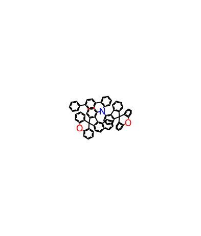 c1ccc(-c2ccc(-c3ccccc3N(c3cccc4c3-c3ccccc3C43c4ccccc4Oc4ccccc43)c3cccc4c3-c3c(ccc5ccccc35)C43c4ccccc4Oc4ccccc43)cc2)cc1